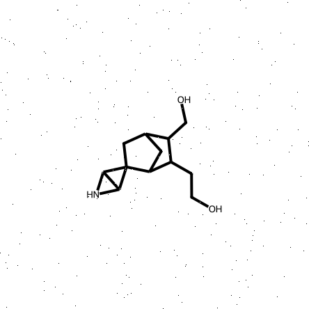 OCCC1C(CO)C2CC1C1(C2)C2NC21